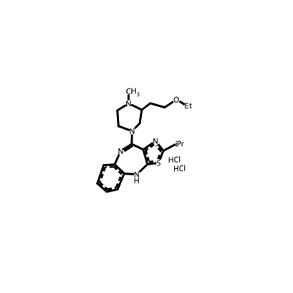 CCOCCC1CN(C2=Nc3ccccc3Nc3sc(C(C)C)nc32)CCN1C.Cl.Cl